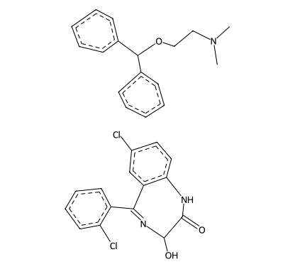 CN(C)CCOC(c1ccccc1)c1ccccc1.O=C1Nc2ccc(Cl)cc2C(c2ccccc2Cl)=NC1O